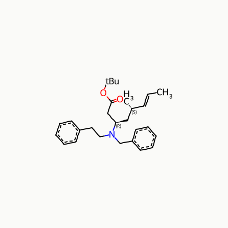 CC=C[C@@H](C)C[C@H](CC(=O)OC(C)(C)C)N(CCc1ccccc1)Cc1ccccc1